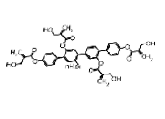 C=C(CO)C(=O)Oc1ccc(-c2ccc(-c3cc(OC(=O)C(=C)CO)c(-c4ccc(OC(=O)C(=C)CO)cc4)cc3CCCCCC)cc2OC(=O)C(=C)CO)cc1